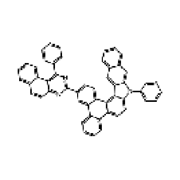 c1ccc(-c2nc(-c3ccc4c(c3)c3ccccc3c3ccc5c(c6cc7ccccc7cc6n5-c5cccnc5)c34)nc3ccc4ccccc4c23)cc1